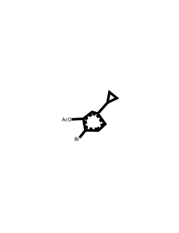 CC(=O)Oc1cc(C2CC2)ccc1Br